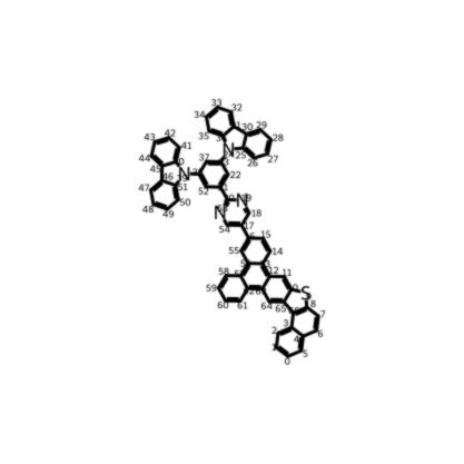 c1ccc2c(c1)ccc1sc3cc4c5ccc(-c6cnc(-c7cc(-n8c9ccccc9c9ccccc98)cc(-n8c9ccccc9c9ccccc98)c7)nc6)cc5c5ccccc5c4cc3c12